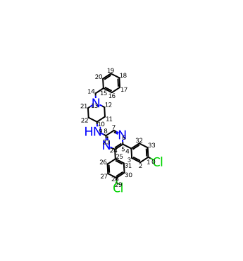 Clc1ccc(-c2ncc(NC3CCN(Cc4ccccc4)CC3)nc2-c2ccc(Cl)cc2)cc1